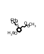 COC(=O)CCc1ccc(OC)cc1SCC(=O)OC